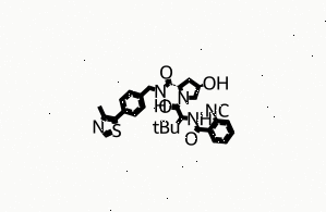 Cc1ncsc1-c1ccc(CNC(=O)[C@@H]2C[C@@H](O)CN2C(=O)C(NC(=O)c2ccccc2C#N)C(C)(C)C)cc1